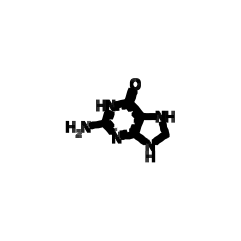 Nc1nc2c(c(=O)[nH]1)NCN2